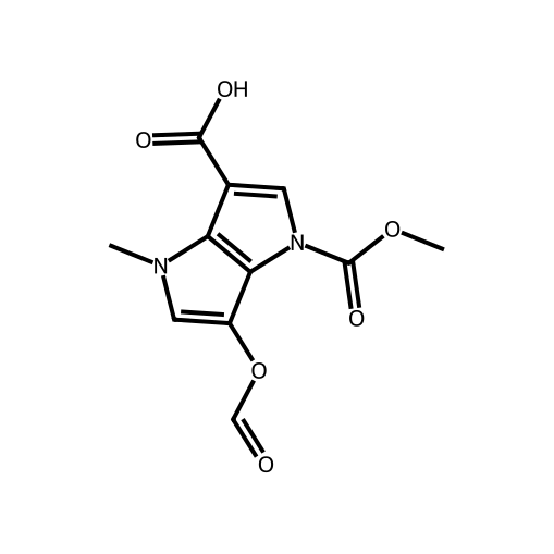 COC(=O)n1cc(C(=O)O)c2c1c(OC=O)cn2C